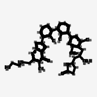 COc1nc(-c2cccc(-c3cccc(-c4cc5c(=O)n(C)c(CNCCO)nn5c4)c3Cl)c2Cl)cc(Cl)c1CN(CC1CCC(=O)N1)C(=O)O